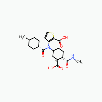 CNC(=O)[C@H]1CCC(N(c2ccsc2C(=O)O)C(=O)[C@H]2CC[C@H](C)CC2)C[C@@H]1C(=O)O